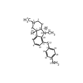 CN1CC[C@@H]2[C@@H](C1)c1cccc(Sc3ccc(N)cc3)c1N2C